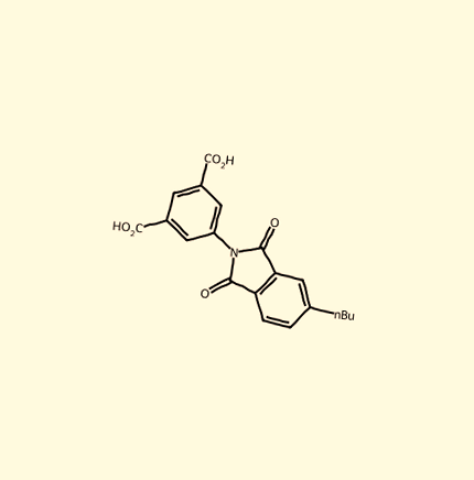 CCCCc1ccc2c(c1)C(=O)N(c1cc(C(=O)O)cc(C(=O)O)c1)C2=O